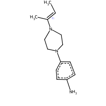 C/C=C(\C)N1CCN(c2ccc(N)cc2)CC1